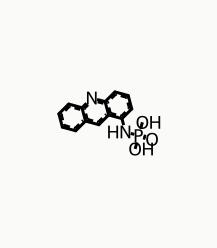 O=P(O)(O)Nc1cccc2nc3ccccc3cc12